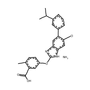 Cc1ccc(Oc2nc3cc(-c4cccc(C(C)C)c4)c(Cl)cc3[nH]2)cc1C(=O)O.N